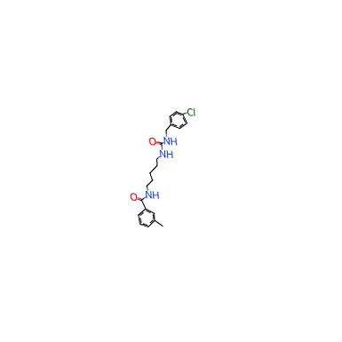 Cc1cccc(C(=O)NCCCCCNC(=O)NCc2ccc(Cl)cc2)c1